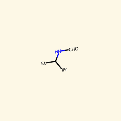 CCC(NC=O)C(C)C